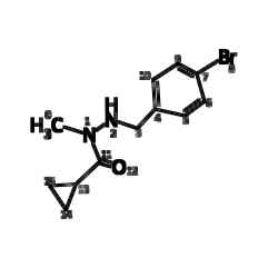 CN(NCc1ccc(Br)cc1)C(=O)C1CC1